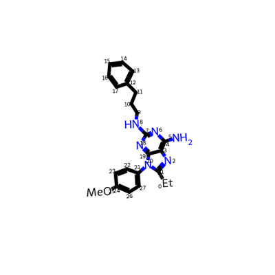 CCc1nc2c(N)nc(NCCCc3ccccc3)nc2n1-c1ccc(OC)cc1